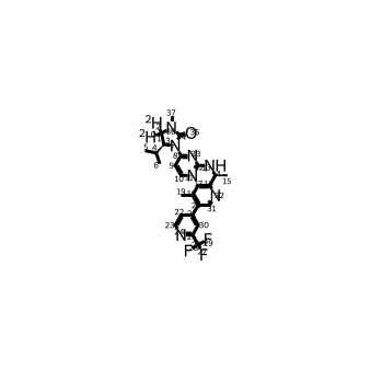 [2H]C1([2H])[C@H](C(C)C)N(c2ccnc(N[C@@H](C)c3cc(C)c(-c4ccnc(C(F)(F)F)c4)cn3)n2)C(=O)N1C